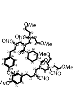 COCC[N+](C=O)(CCOC)CN(CN(C=O)CCc1ccc(OC)cc1)C(=O)[C@H]1CC[C@H](C(=O)N(CN(C=O)CCc2ccc(OC)cc2)C[N+](C=O)(CCOC)CCOC)CC1